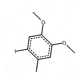 COc1cc(C)c(I)cc1OC